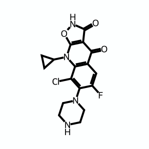 O=c1[nH]oc2c1c(=O)c1cc(F)c(N3CCNCC3)c(Cl)c1n2C1CC1